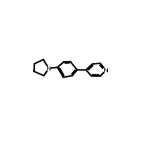 c1cc(-c2ccc(N3CCCC3)cc2)ccn1